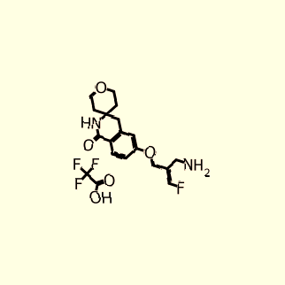 NC/C(=C\F)COc1ccc2c(c1)CC1(CCOCC1)NC2=O.O=C(O)C(F)(F)F